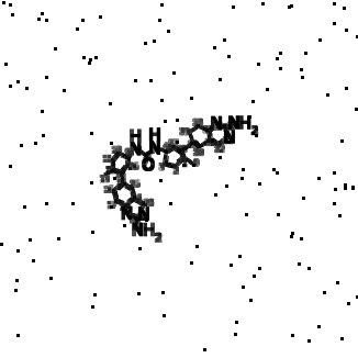 Cc1ccc(NC(=O)Nc2ccc(C)c(-c3ccc4nc(N)ncc4c3)c2)cc1C1=Cc2cnc(N)nc2CC1